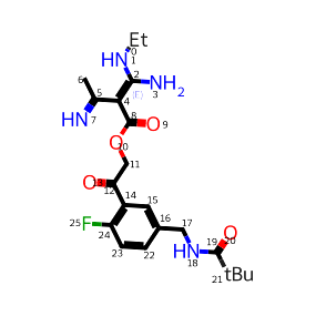 CCN/C(N)=C(\C(C)=N)C(=O)OCC(=O)c1cc(CNC(=O)C(C)(C)C)ccc1F